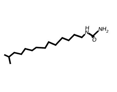 CC(C)CCCCCCCCCCCCNC(N)=O